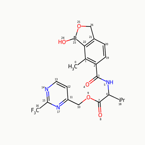 Cc1c(C(=O)NC(C(=O)OCc2ccnc(C(F)(F)F)n2)C(C)C)ccc2c1B(O)OC2